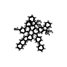 CC(C)(C)c1ccc(N2c3cc4c(c5c3B(c3ccc6c(oc7cc8ccccc8cc76)c32)N(c2ccc(-c3ccccc3)cc2)c2cc3c(cc2-5)-c2ccccc2C3(C)C)C(C)(C)c2ccccc2-4)c(-c2ccccc2)c1